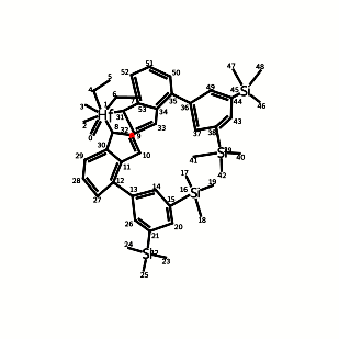 [CH2]=[Hf]([CH3])([CH3])([CH2]C)([CH2]C)([CH]1C=Cc2c(-c3cc([Si](C)(C)C)cc([Si](C)(C)C)c3)cccc21)[CH]1C=Cc2c(-c3cc([Si](C)(C)C)cc([Si](C)(C)C)c3)cccc21